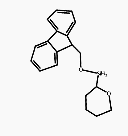 c1ccc2c(c1)-c1ccccc1C2CO[SiH2]C1CCCCO1